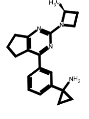 C[C@H]1CCN1c1nc2c(c(-c3cccc(C4(N)CC4)c3)n1)CCC2